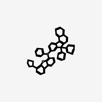 c1ccc(N(c2ccc3c(c2)C(c2ccccc2)(c2ccccc2)c2ccc4ccccc4c2-3)c2cccc3c2oc2c(C4CCCC4)cccc23)cc1